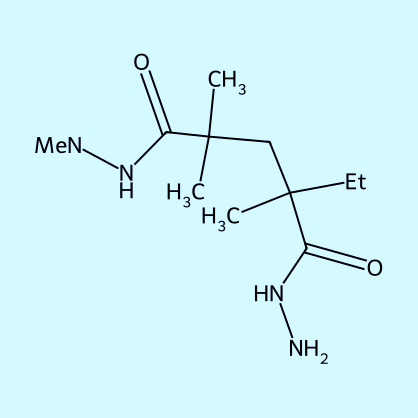 CCC(C)(CC(C)(C)C(=O)NNC)C(=O)NN